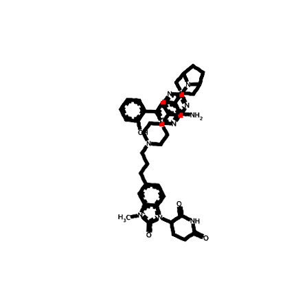 Cn1c(=O)n(C2CCC(=O)NC2=O)c2ccc(CCCN3CCN(c4cnc(N5C6CCC5CN(c5cc(-c7ccccc7O)nnc5N)C6)nc4)CC3)cc21